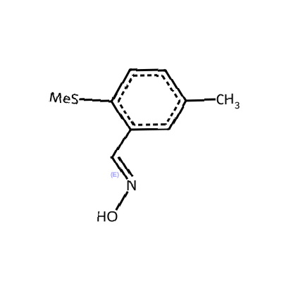 CSc1ccc(C)cc1/C=N/O